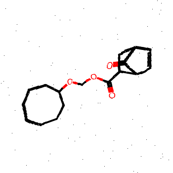 O=C1C2C=CC1C(C(=O)OCOC1CCCCCCC1)C2